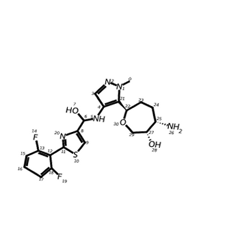 Cn1ncc(NC(O)c2csc(-c3c(F)cccc3F)n2)c1[C@H]1CC[C@H](N)[C@H](O)CO1